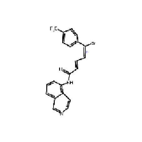 O=C(/C=C/C=C(/Br)c1ccc(C(F)(F)F)cc1)Nc1cccc2cnccc12